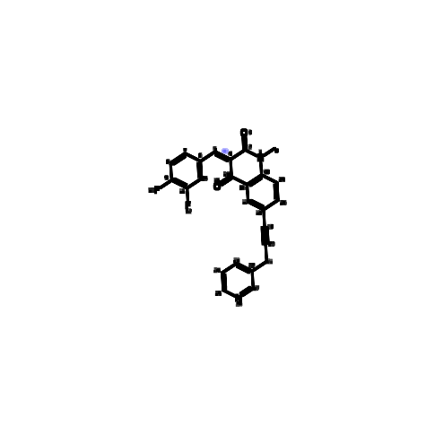 CN1C(=O)/C(=C/c2ccc(F)c(F)c2)C(=O)c2cc(C#CCc3cccnc3)ccc21